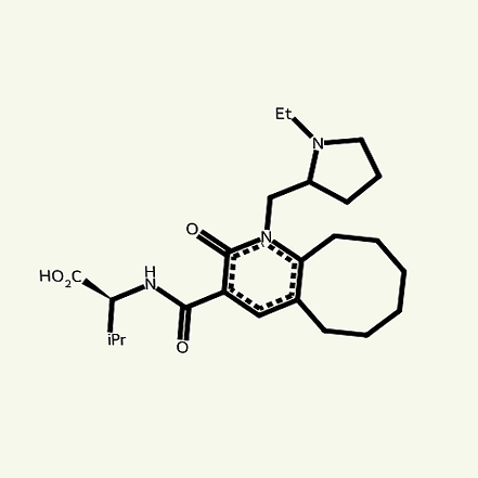 CCN1CCCC1Cn1c2c(cc(C(=O)N[C@H](C(=O)O)C(C)C)c1=O)CCCCCC2